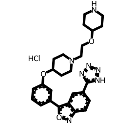 Cl.c1cc(OC2CCN(CCOC3CCNCC3)CC2)cc(-c2onc3ccc(-c4nnn[nH]4)cc23)c1